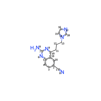 N#Cc1ccc2nc(N)nc(CCCn3ccnc3)c2c1